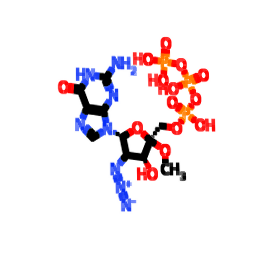 CO[C@]1(COP(=O)(O)OP(=O)(O)OP(=O)(O)O)O[C@@H](n2cnc3c(=O)[nH]c(N)nc32)C(N=[N+]=[N-])[C@@H]1O